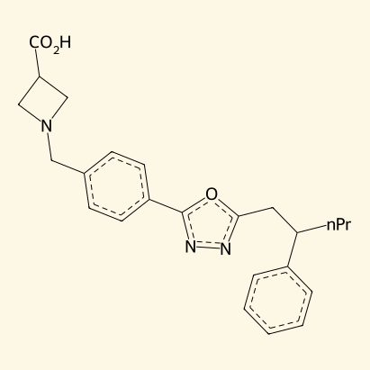 CCCC(Cc1nnc(-c2ccc(CN3CC(C(=O)O)C3)cc2)o1)c1ccccc1